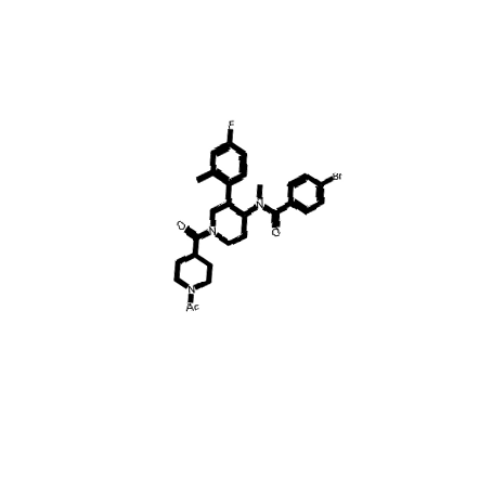 CC(=O)N1CCC(C(=O)N2CCC(N(C)C(=O)c3ccc(Br)cc3)C(c3ccc(F)cc3C)C2)CC1